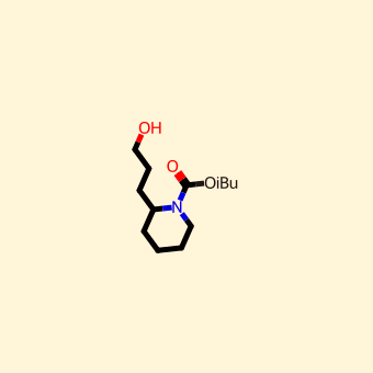 CC(C)COC(=O)N1CCCCC1CCCO